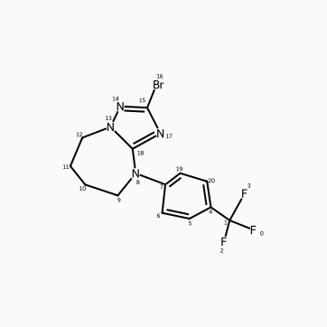 FC(F)(F)c1ccc(N2CCCCn3nc(Br)nc32)cc1